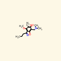 CCCc1noc2c(CN(C)C)c(O)c(C)c(OC)c12